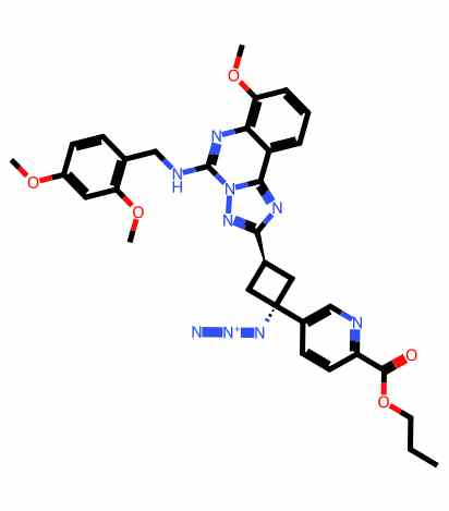 CCCOC(=O)c1ccc([C@]2(N=[N+]=[N-])C[C@H](c3nc4c5cccc(OC)c5nc(NCc5ccc(OC)cc5OC)n4n3)C2)cn1